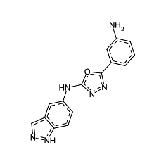 Nc1cccc(-c2nnc(Nc3ccc4[nH]ncc4c3)o2)c1